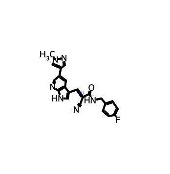 Cn1cc(-c2cnc3[nH]cc(/C=C(\C#N)C(=O)NCc4ccc(F)cc4)c3c2)cn1